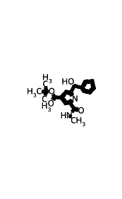 CNC(=O)c1cc(C(=O)OC(C)(C)C)cc(C(O)c2ccccc2)n1